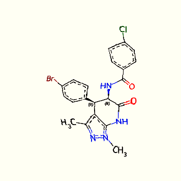 Cc1nn(C)c2c1[C@@H](c1ccc(Br)cc1)[C@@H](NC(=O)c1ccc(Cl)cc1)C(=O)N2